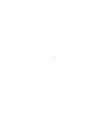 CCCCCCC/C(C)=C/N=C(\C)C(C)C